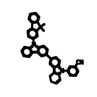 CC1(C)c2ccccc2-c2ccc(-n3c4ccccc4c4cc(-c5ccc6c(c5)c5c(n6-c6cccc(C#N)c6)C=CCC5)ccc43)cc21